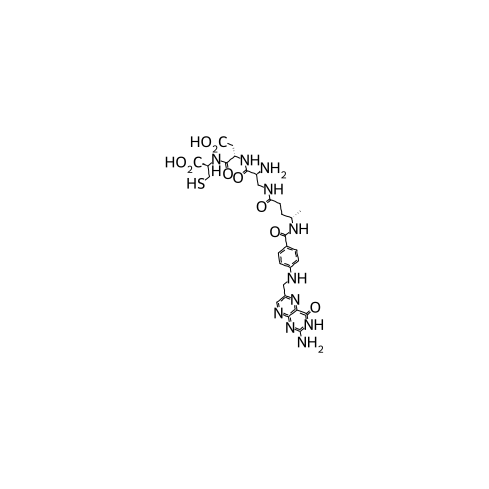 C[C@@H](CCC(=O)NC[C@H](N)C(=O)N[C@@H](CC(=O)O)C(=O)N[C@@H](CS)C(=O)O)NC(=O)c1ccc(NCc2cnc3nc(N)[nH]c(=O)c3n2)cc1